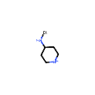 [CH2]CNC1CCNCC1